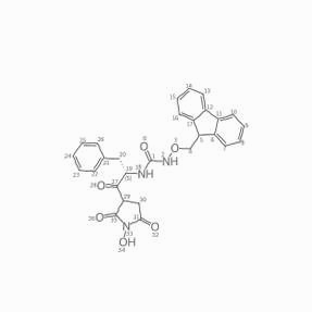 O=C(NOCC1c2ccccc2-c2ccccc21)N[C@@H](Cc1ccccc1)C(=O)C1CC(=O)N(O)C1=O